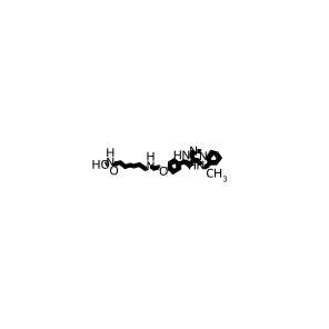 CC(Nc1ncnc2[nH]c(-c3ccc(OCCNCCCCCCC(=O)NO)cc3)cc12)c1ccccc1